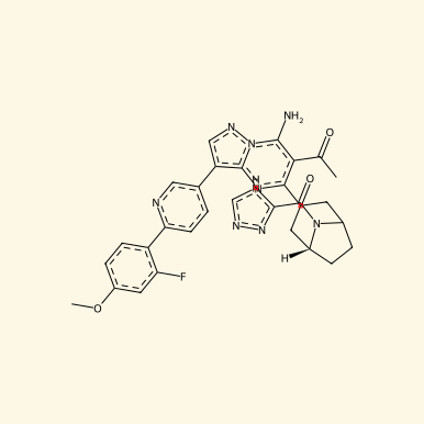 COc1ccc(-c2ccc(-c3cnn4c(N)c(C(C)=O)c(C5CC6CC[C@H](C5)N6C(=O)c5nnc[nH]5)nc34)cn2)c(F)c1